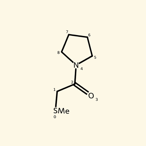 CSCC(=O)N1CCCC1